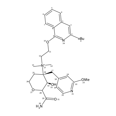 CCCCc1cc2ccccc2c(OCC[N+](C)(C)[C@@]2(Cc3ccnc(OC)c3)CCOC(C(N)=O)[C@@H]2O)n1